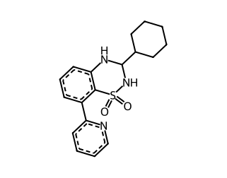 O=S1(=O)NC(C2CCCCC2)Nc2cccc(-c3ccccn3)c21